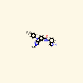 Cn1cc2c3cc(C(=O)NC4CCCc5[nH]ccc54)ccc3n(-c3ccc(C(F)(F)F)cc3)c2n1